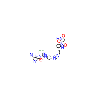 Cn1c(=O)n(C2CCC(=O)NC2=O)c2cccc(C#CCN3CCN(C[C@H]4CC[C@H](n5cc(NC(=O)c6cncc(C#N)c6)c(C(F)F)n5)CC4)CC3)c21